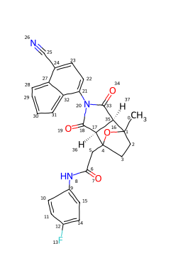 CC12CCC(CC(=O)Nc3ccc(F)cc3)(O1)[C@H]1C(=O)N(c3ccc(C#N)c4ccccc34)C(=O)[C@H]12